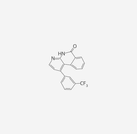 O=c1[nH]c2nccc(-c3cccc(C(F)(F)F)c3)c2c2ccccc12